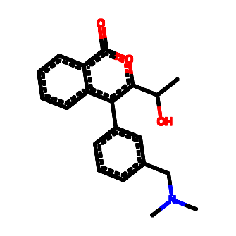 CC(O)c1oc(=O)c2ccccc2c1-c1cccc(CN(C)C)c1